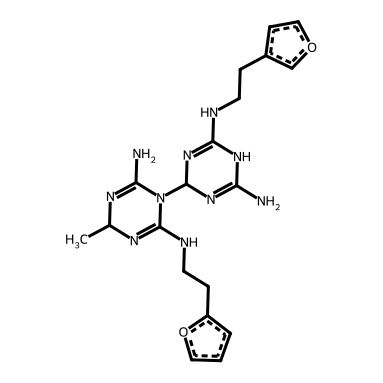 CC1N=C(N)N(C2N=C(N)NC(NCCc3ccoc3)=N2)C(NCCc2ccco2)=N1